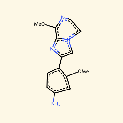 COc1cc(N)ccc1-c1cn2ccnc(OC)c2n1